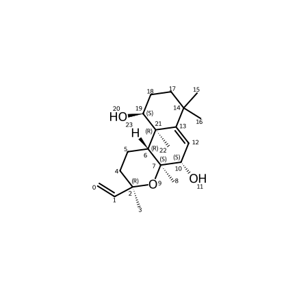 C=C[C@@]1(C)CC[C@H]2[C@](C)(O1)[C@@H](O)C=C1C(C)(C)CC[C@H](O)[C@@]12C